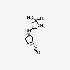 CC(C)(C)OC(=O)N[C@H]1CC[C@H](OC=O)C1